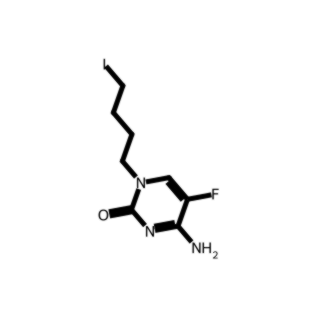 Nc1nc(=O)n(CCCCI)cc1F